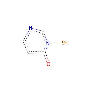 O=c1ccncn1S